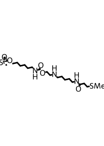 CSCCC(=O)NCCCCCNCCOC(=O)NCCCCCCOP(C)(=O)S